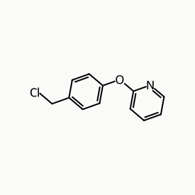 ClCc1ccc(Oc2ccccn2)cc1